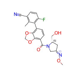 CO/N=C1/C[C@@H](CO)N(C(=O)c2ccc(-c3c(F)ccc(C#N)c3C)c3c2OCO3)C1